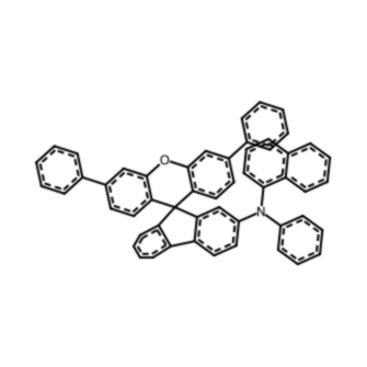 c1ccc(-c2ccc3c(c2)Oc2cc(-c4ccccc4)ccc2C32c3ccccc3-c3ccc(N(c4ccccc4)c4cccc5ccccc45)cc32)cc1